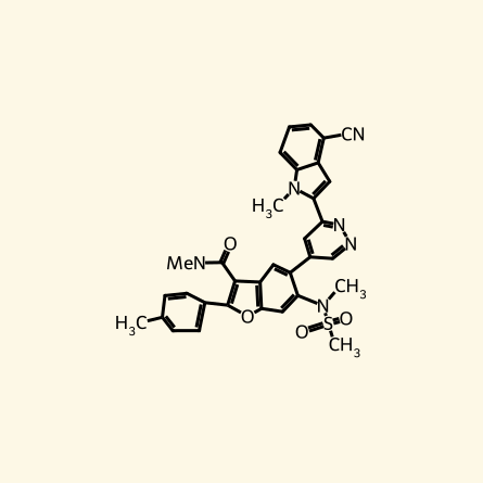 CNC(=O)c1c(-c2ccc(C)cc2)oc2cc(N(C)S(C)(=O)=O)c(-c3cnnc(-c4cc5c(C#N)cccc5n4C)c3)cc12